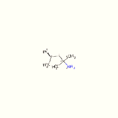 CC(C)[C@H](C)CC(C)(C)N